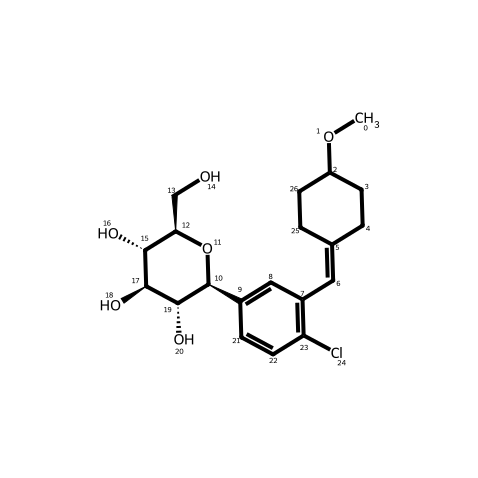 COC1CCC(=Cc2cc([C@@H]3O[C@H](CO)[C@@H](O)[C@H](O)[C@H]3O)ccc2Cl)CC1